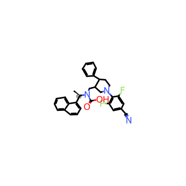 C[C@H](c1cccc2ccccc12)N(CC1CN(c2c(F)cc(C#N)cc2F)CCC1c1ccccc1)C(=O)O